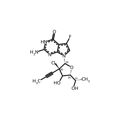 CC#C[C@@]1(Cl)C(O)[C@@H]([C@H](C)O)O[C@H]1n1cc(F)c2c(=O)[nH]c(N)nc21